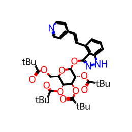 CC(C)(C)C(=O)OC[C@H]1O[C@@H](Oc2n[nH]c3cccc(/C=C/c4ccncc4)c23)[C@H](OC(=O)C(C)(C)C)[C@@H](OC(=O)C(C)(C)C)[C@@H]1OC(=O)C(C)(C)C